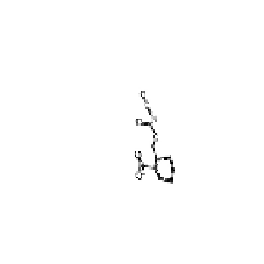 O=C=NC(=O)OCc1ccccc1[N+](=O)[O-]